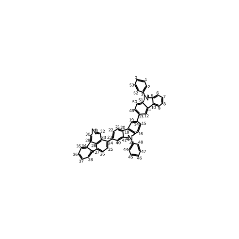 c1ccc(-n2c3ccccc3c3cc(-c4ccc5c(c4)c4ccc(-c6ccc7c8c(cncc68)-c6ccccc6-7)cc4n5-c4ccccc4)ccc32)cc1